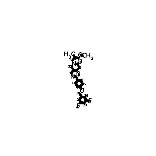 COC(=O)C(C)CN1CCc2nc(-c3ccc(OCc4cc(F)cc(F)c4)cc3)ncc2C1